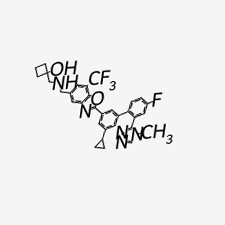 Cn1cnnc1-c1cc(F)ccc1-c1cc(-c2nc3cc(CNCC4(O)CCC4)cc(C(F)(F)F)c3o2)cc(C2CC2)c1